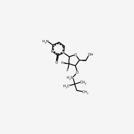 CCC(C)(C)[SiH2]OC1C(CO)OC(n2ccc(N)nc2=O)C1(F)F